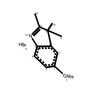 Br.COc1ccc2c(c1)C(C)(C)C(C)=N2